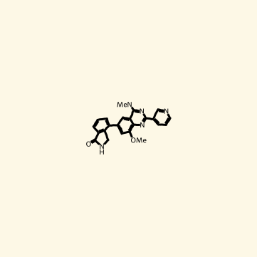 CNc1nc(-c2cccnc2)nc2c(OC)cc(-c3cccc4c3CNC4=O)cc12